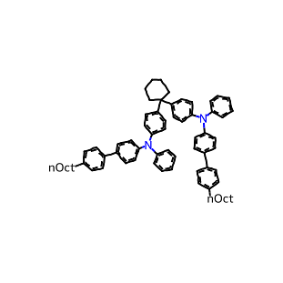 CCCCCCCCc1ccc(-c2ccc(N(c3ccccc3)c3ccc(C4(c5ccc(N(c6ccccc6)c6ccc(-c7ccc(CCCCCCCC)cc7)cc6)cc5)CCCCC4)cc3)cc2)cc1